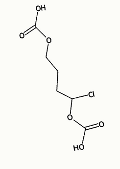 O=C(O)OCCCC(Cl)OC(=O)O